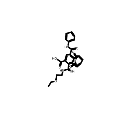 CCOCCNC(=N)c1c(C(=O)O)cc(C(=O)Nc2ccccc2)c2c3ccc(c(=O)[nH]c3=O)c12